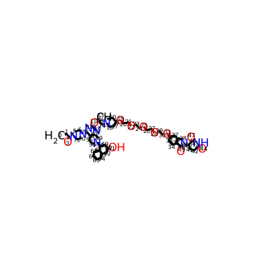 C=CC(=O)N1CCN(c2nc(O[C@H](C)CN3CCC(OCCOCCOCCOCCOc4ccc5c(c4)CN(C4CCC(=O)NC4=O)C5=O)CC3)nc3c2CCN(c2cc(O)cc4ccccc24)C3)CC1